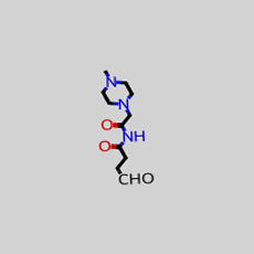 CN1CCN(CC(=O)NC(=O)CCC=O)CC1